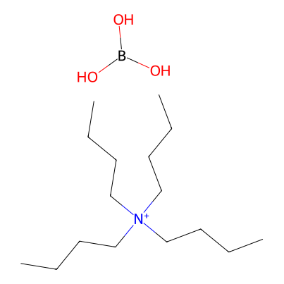 CCCC[N+](CCCC)(CCCC)CCCC.OB(O)O